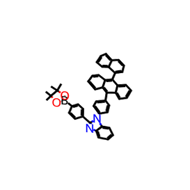 CC1(C)OB(c2ccc(-c3nc4ccccc4n3-c3ccc(-c4c5ccccc5c(-c5cccc6ccccc56)c5ccccc45)cc3)cc2)OC1(C)C